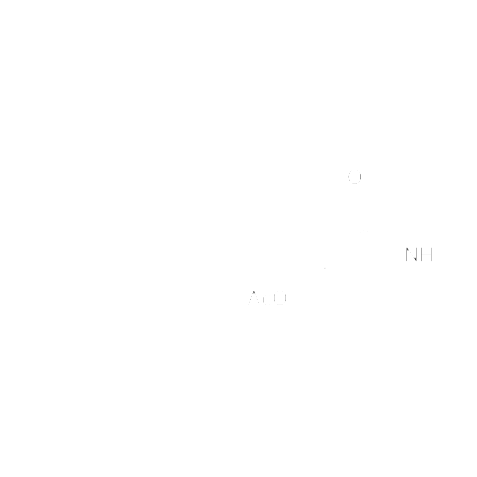 CC(=O)OC1(CCCc2ccccc2)CCNC1=O